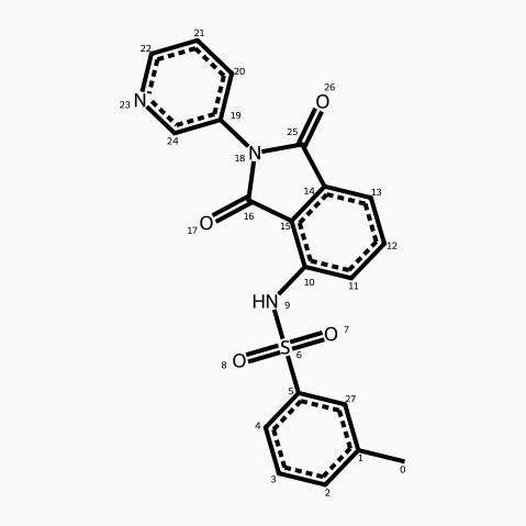 Cc1cccc(S(=O)(=O)Nc2cccc3c2C(=O)N(c2cccnc2)C3=O)c1